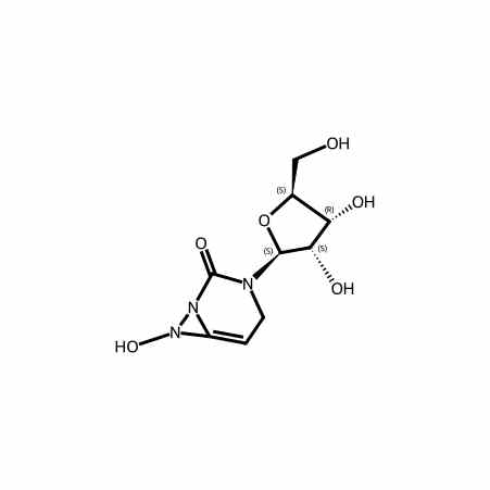 O=C1N([C@H]2O[C@@H](CO)[C@H](O)[C@@H]2O)CC=C2N(O)N12